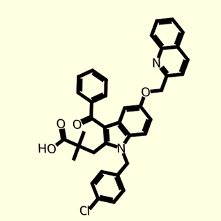 CC(C)(Cc1c(C(=O)c2ccccc2)c2cc(OCc3ccc4ccccc4n3)ccc2n1Cc1ccc(Cl)cc1)C(=O)O